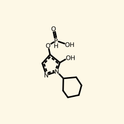 O=[PH](O)Oc1cnn(C2CCCCC2)c1O